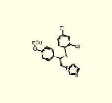 CCCCOc1ccc(C(Cn2ccnc2)Sc2ccc(Cl)cc2Cl)cc1